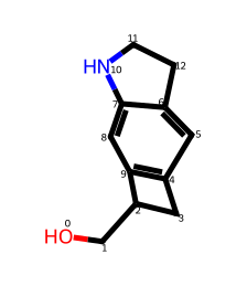 OCC1Cc2cc3c(cc21)NCC3